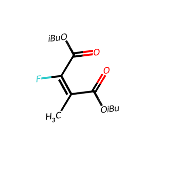 C/C(C(=O)OCC(C)C)=C(\F)C(=O)OCC(C)C